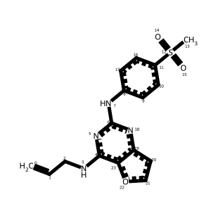 C=CCNc1nc(Nc2ccc(S(C)(=O)=O)cc2)nc2ccoc12